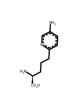 Nc1ccc(CCC[C@H](N)C(=O)O)nc1